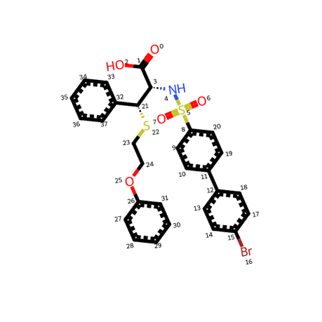 O=C(O)[C@H](NS(=O)(=O)c1ccc(-c2ccc(Br)cc2)cc1)[C@H](SCCOc1ccccc1)c1ccccc1